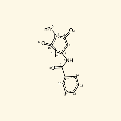 CCCn1c(=O)cc(NC(=O)c2ccccc2)[nH]c1=O